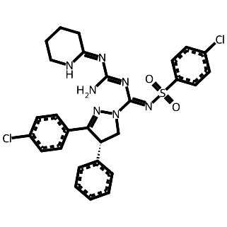 NC(/N=C1/CCCCN1)=N\C(=N/S(=O)(=O)c1ccc(Cl)cc1)N1C[C@H](c2ccccc2)C(c2ccc(Cl)cc2)=N1